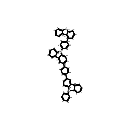 c1ccc(-n2c3ccccc3c3cc(-c4ccc(-c5ccc6c(c5)c5ccccc5n6-c5ccc(-c6cccc7sc8ccccc8c67)cc5)cc4)ccc32)cc1